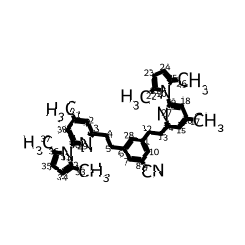 Cc1cc(CCc2cc(C#N)cc(CCc3cc(C)cc(-n4c(C)ccc4C)n3)c2)nc(-n2c(C)ccc2C)c1